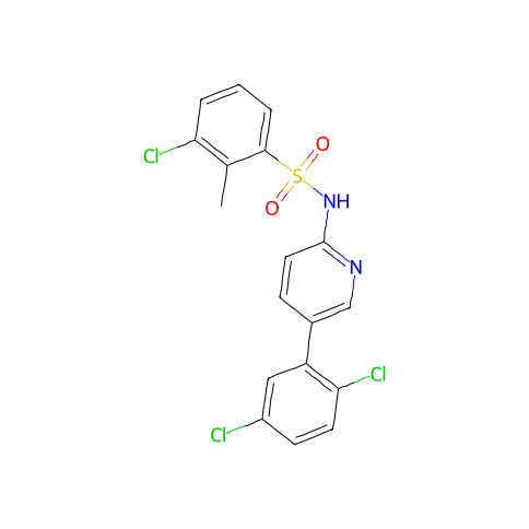 Cc1c(Cl)cccc1S(=O)(=O)Nc1ccc(-c2cc(Cl)ccc2Cl)cn1